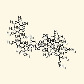 CC[C@H](C)[C@H](NC(=O)[C@H](CO)NC(=O)[C@H](CC(C)C)NC(=O)[C@H](CC(C)C)NC(=O)[C@@H](NC(=O)[C@H](CC(N)=O)NC(=O)[C@H](CCCCN)NC(=O)[C@@H](N)CCSC)[C@@H](C)CC)C(=O)N[C@@H](CC(C)C)C(=O)NCC(=O)N[C@H](C(=O)N[C@@H](CC(C)C)C(=O)N[C@@H](CO)C(=O)N[C@H](C(=O)N[C@H](C(=O)O)C(C)C)[C@@H](C)CC)C(C)C